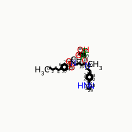 CCCCCc1ccc(S(=O)(=O)N(C)CCCC(=O)N(C)CCc2ccc(C3=NCCN3)cc2)cc1.O=C(O)C(F)(F)F